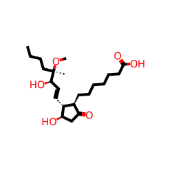 CCCC[C@@](C)(OC)[C@H](O)/C=C/[C@H]1[C@H](O)CC(=O)[C@@H]1CCCCCCC(=O)O